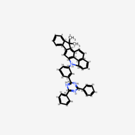 CC1(C)c2ccccc2-c2cc3c4c(ccc5cccc(c54)n3-c3cccc(-c4nc(-c5ccccc5)nc(-c5ccccc5)n4)c3)c21